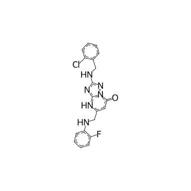 O=c1cc(CNc2ccccc2F)[nH]c2nc(NCc3ccccc3Cl)nn12